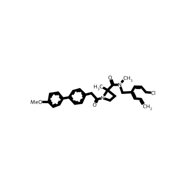 C=C/C=C(\C=C/CCl)CN(C)C(=O)C1(C)CCN1C(=O)Cc1ccc(-c2ccc(OC)cc2)cc1